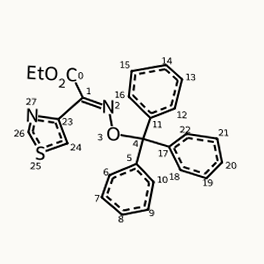 CCOC(=O)C(=NOC(c1ccccc1)(c1ccccc1)c1ccccc1)c1cscn1